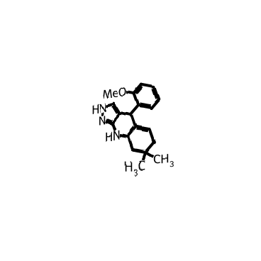 COc1ccccc1C1C2=CCC(C)(C)CC2Nc2n[nH]cc21